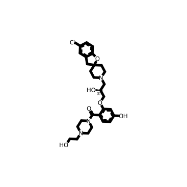 O=C(c1ccc(O)cc1OC[C@@H](O)CN1CCC2(CC1)Cc1cc(Cl)ccc1O2)N1CCN(CCO)CC1